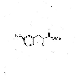 COC(=O)C(Cl)Cc1cccc(C(F)(F)F)c1